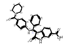 O=C1Nc2cc(C(=O)O)ccc2/C1=C(/Nc1ccc(C(=O)N2CCCCC2)cc1)c1ccccc1